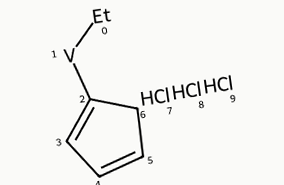 C[CH2][V][C]1=CC=CC1.Cl.Cl.Cl